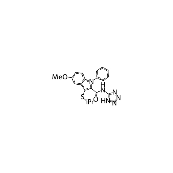 COc1ccc2c(c1)c(SC(C)C)c(C(=O)Nc1nnn[nH]1)n2-c1ccccc1